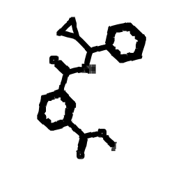 O=C(NC(c1ccccc1)C1CC1)c1cccc(C(=O)OI)c1